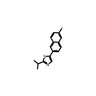 CC(C)c1ncc(-c2ccc3cc(I)ccc3c2)s1